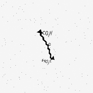 O=C(CCCCCC1(C(=O)O)CC1)CCCCCC1(C(=O)O)CC1